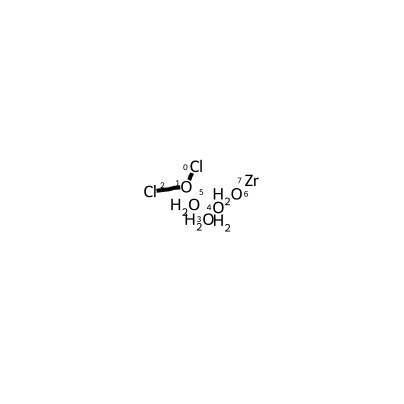 ClOCl.O.O.O.O.[Zr]